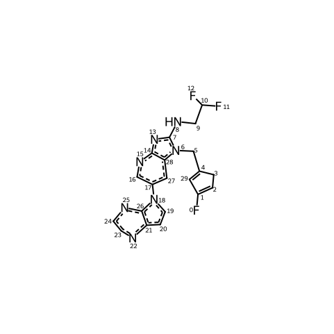 FC1=CCC(Cn2c(NCC(F)F)nc3ncc(-n4ccc5nccnc54)cc32)=C1